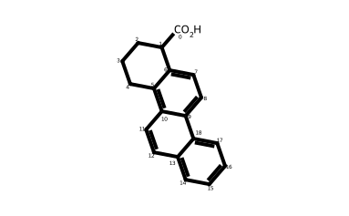 O=C(O)C1CCCc2c1ccc1c2ccc2ccccc21